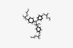 CCOC(C)Oc1ccc(C(c2ccc(OC(C)OCC)cc2)C(C)(C)c2ccc(OC(C)OCC)cc2)cc1